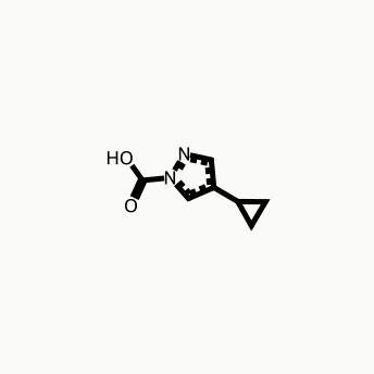 O=C(O)n1cc(C2CC2)cn1